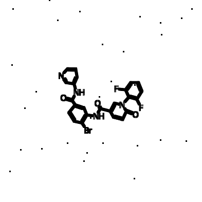 O=C(Nc1cccnc1)c1ccc(Br)c(NC(=O)c2ccc(=O)n(-c3c(F)cccc3F)c2)c1